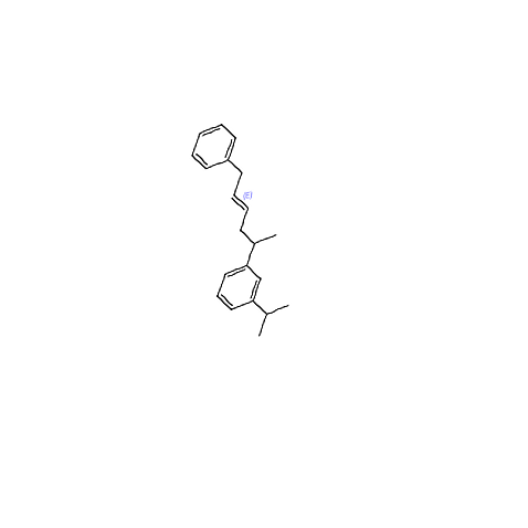 CC(C)c1cccc(C(C)C/C=C/Cc2ccccc2)c1